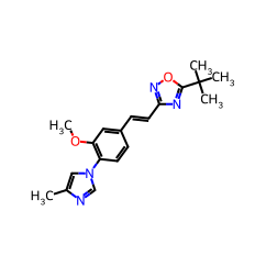 COc1cc(C=Cc2noc(C(C)(C)C)n2)ccc1-n1cnc(C)c1